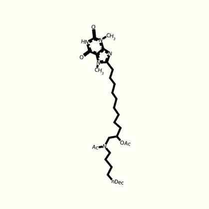 CCCCCCCCCCCCCCN(CC(CCCCCCCCCc1nc2c(c(=O)[nH]c(=O)n2C)n1C)OC(C)=O)C(C)=O